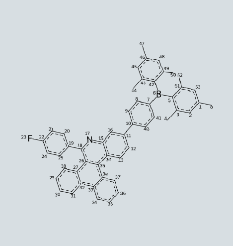 Cc1cc(C)c(B(c2ccc(-c3ccc4c(c3)nc(-c3ccc(F)cc3)c3c5ccccc5c5ccccc5c43)cc2)c2c(C)cc(C)cc2C)c(C)c1